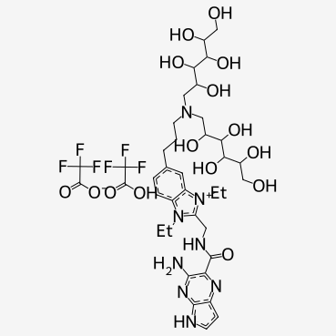 CCn1c(CNC(=O)c2nc3cc[nH]c3nc2N)[n+](CC)c2cc(CCCN(CC(O)C(O)C(O)C(O)CO)CC(O)C(O)C(O)C(O)CO)ccc21.O=C(O)C(F)(F)F.O=C([O-])C(F)(F)F